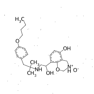 CCCCOc1ccc(CC(C)(C)NCC(O)c2ccc(O)c3c2OC[NH+]([O-])C3)cc1